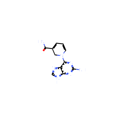 NC(=O)C1=CC=CN(c2nc(N)nc3[nH]cnc23)C1